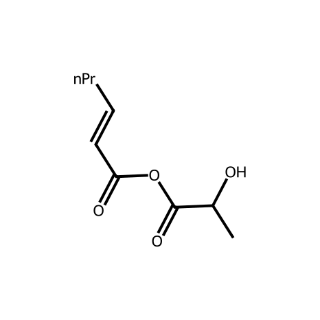 CCCC=CC(=O)OC(=O)C(C)O